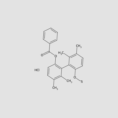 Cc1ccc([O][Ti])c(-c2c(OC(=O)c3ccccc3)ccc(C)c2C)c1C.Cl